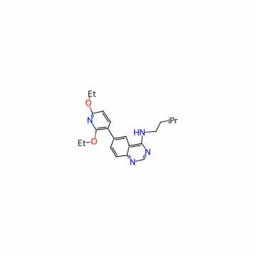 CCOc1ccc(-c2ccc3ncnc(NCCC(C)C)c3c2)c(OCC)n1